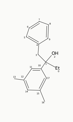 CCC(O)(Cc1ccccc1)c1cc(C)cc(C)c1